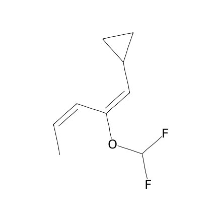 C/C=C\C(=C/C1CC1)OC(F)F